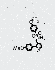 COc1ccc(C2C(CNS(=O)(=O)c3ccc(OC(F)(F)F)cc3)CCN2C)cc1